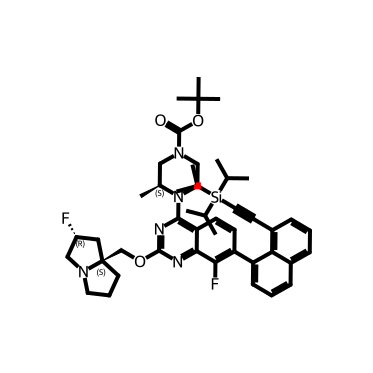 CC(C)[Si](C#Cc1cccc2cccc(-c3ccc4c(N5CCN(C(=O)OC(C)(C)C)C[C@@H]5C)nc(OC[C@@]56CCCN5C[C@H](F)C6)nc4c3F)c12)(C(C)C)C(C)C